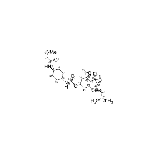 CNCC(=O)N[C@H]1CC[C@H](NC(=O)OC2CC(OC)C([C@@]3(C)O[C@@H]3CC=C(C)C)[C@@]3(CO3)C2)CC1